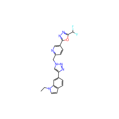 CCn1ccc2ccc(-c3cn(Cc4ccc(-c5nnc(C(F)F)o5)cn4)nn3)cc21